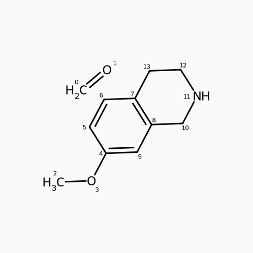 C=O.COc1ccc2c(c1)CNCC2